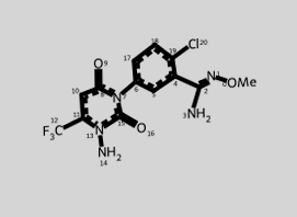 CON=C(N)c1cc(-n2c(=O)cc(C(F)(F)F)n(N)c2=O)ccc1Cl